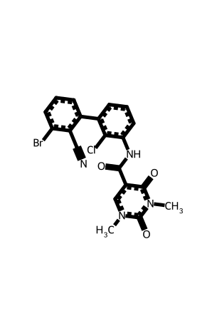 Cn1cc(C(=O)Nc2cccc(-c3cccc(Br)c3C#N)c2Cl)c(=O)n(C)c1=O